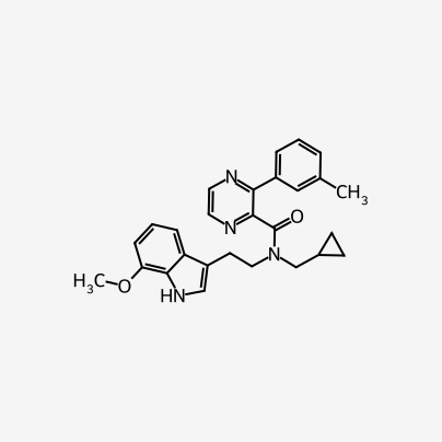 COc1cccc2c(CCN(CC3CC3)C(=O)c3nccnc3-c3cccc(C)c3)c[nH]c12